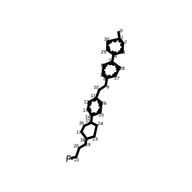 Cc1ccc(-c2ccc(CCc3ccc(C4CCC(CCCF)CC4)cc3)cc2)cc1